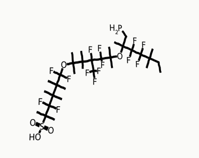 CCC(C)(C)C(F)(F)C(F)(F)C(C)(CP)OC(C)(C)C(F)(F)C(F)(C(F)(F)F)C(C)(C)C(C)(C)OC(F)(F)C(C)(C)C(C)(C)C(F)(F)C(C)(C)S(=O)(=O)O